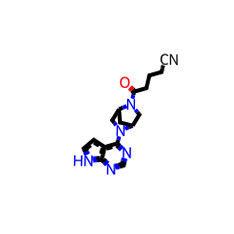 N#CCCCC(=O)N1CC2CC1CN2c1ncnc2[nH]ccc12